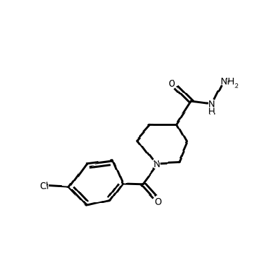 NNC(=O)C1CCN(C(=O)c2ccc(Cl)cc2)CC1